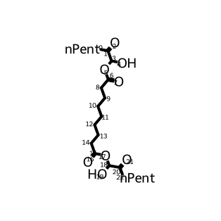 CCCCCC(=O)C(O)OC(=O)CCCCCCCC(=O)OC(O)C(=O)CCCCC